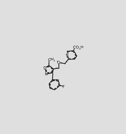 Cc1onc(-c2cccc(F)c2)c1COCc1ccc(C(=O)O)cn1